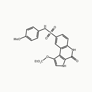 CCOC(=O)Oc1c[nH]c2c(=O)[nH]c3ccc(S(=O)(=O)Nc4ccc(OC)cc4)cc3c12